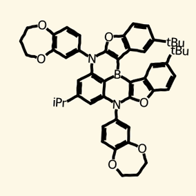 CC(C)c1cc2c3c(c1)N(c1ccc4c(c1)OCCCO4)c1oc4ccc(C(C)(C)C)cc4c1B3c1c(oc3ccc(C(C)(C)C)cc13)N2c1ccc2c(c1)OCCCO2